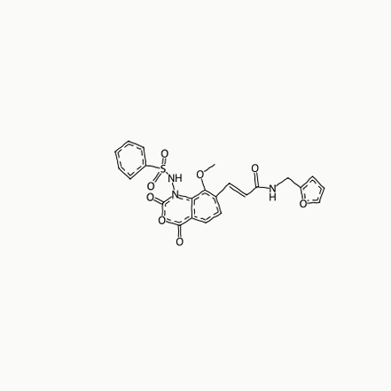 COc1c(C=CC(=O)NCc2ccco2)ccc2c(=O)oc(=O)n(NS(=O)(=O)c3ccccc3)c12